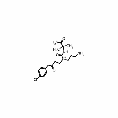 CC(C)(NC(=O)[C@@H](CCCN)CCC(=O)Cc1ccc(Cl)cc1)C(N)=O